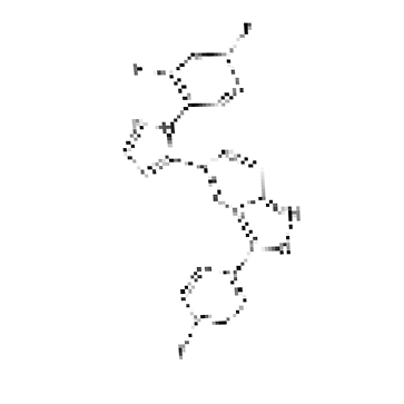 Fc1ccc(-c2onc3ccc(-c4ccnn4-c4ccc(F)cc4F)cc23)cc1